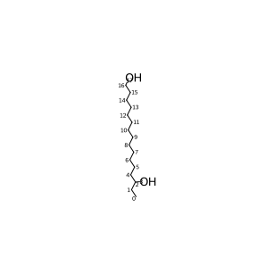 CCC(O)CCCCCCCCCCCCCO